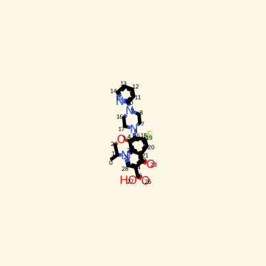 CC1COc2c(N3CCN(c4ccccn4)CC3)c(F)cc3c(=O)c(C(=O)O)cn1c23